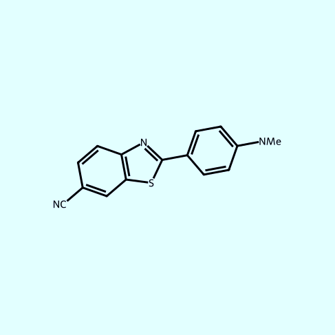 CNc1ccc(-c2nc3ccc(C#N)cc3s2)cc1